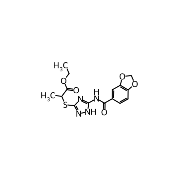 CCOC(=O)C(C)Sc1n[nH]c(NC(=O)c2ccc3c(c2)OCO3)n1